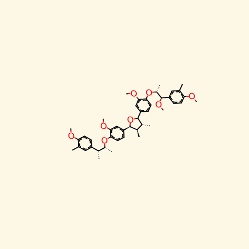 COc1ccc([C@@H](C)[C@@H](C)Oc2ccc([C@H]3OC(c4ccc(O[C@H](C)[C@H](OC)c5ccc(OC)c(C)c5)c(OC)c4)[C@H](C)[C@H]3C)cc2OC)cc1C